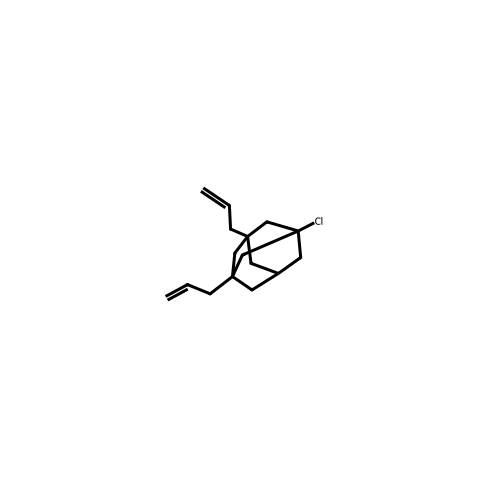 C=CCC12CC3CC(Cl)(C1)CC(CC=C)(C3)C2